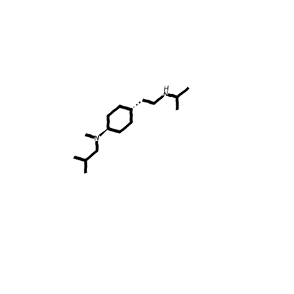 CC(C)CN(C)[C@H]1CC[C@H](CCNC(C)C)CC1